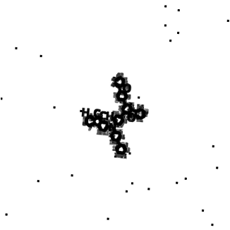 CC1(C)c2ccccc2-c2ccc(N(c3ccc(-c4ccccc4)cc3)c3ccc(-c4cc(-c5ccc6c(c5)oc5ccccc56)cc5c4oc4ccccc45)cc3)cc21